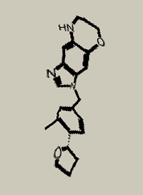 Cc1cc(Cn2cnc3cc4c(cc32)OCCN4)ccc1[C@@H]1CCCO1